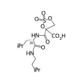 CC(C)CCNC(=O)[C@H](CC(C)C)NC(=O)C1(C(=O)O)COS(=O)(=O)O1